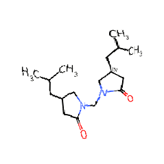 CC(C)CC1CC(=O)N(CN2C[C@@H](CC(C)C)CC2=O)C1